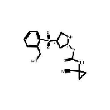 N#CC1(NC(=O)O[C@H]2C[C@@H](S(=O)(=O)c3ccccc3CO)CN2)CC1